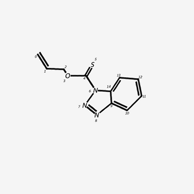 C=CCOC(=S)n1nnc2ccccc21